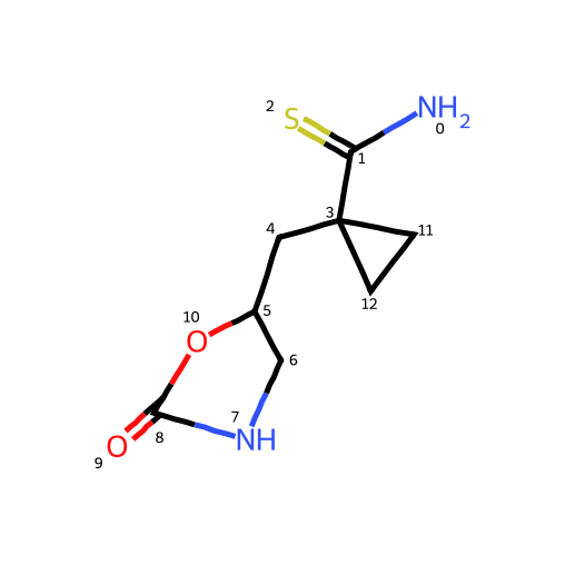 NC(=S)C1(CC2CNC(=O)O2)CC1